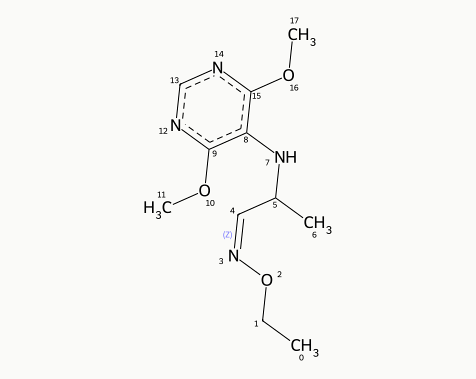 CCO/N=C\C(C)Nc1c(OC)ncnc1OC